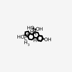 C[C@]12CC[C@@H]3c4ccc(O)cc4CC[C@H]3[C@@H]1CC[C@@H]2O.OBO